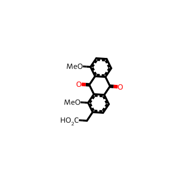 COc1cccc2c1C(=O)c1c(ccc(CC(=O)O)c1OC)C2=O